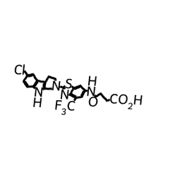 O=C(O)CCC(=O)Nc1cc(C(F)(F)F)c2nc(N3CCc4c([nH]c5ccc(Cl)cc45)C3)sc2c1